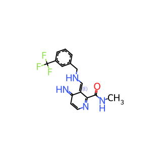 CNC(=O)C1=NC=CC(=N)/C1=C\NCc1cccc(C(F)(F)F)c1